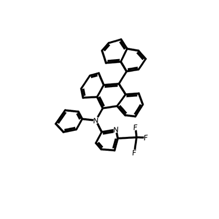 FC(F)(F)c1cccc(N(c2ccccc2)c2c3ccccc3c(-c3cccc4ccccc34)c3ccccc23)n1